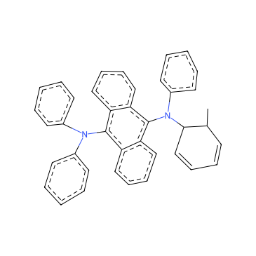 CC1C=CC=CC1N(c1ccccc1)c1c2ccccc2c(N(c2ccccc2)c2ccccc2)c2ccccc12